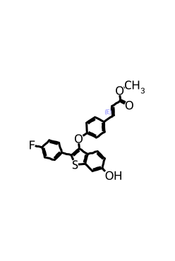 COC(=O)/C=C/c1ccc(Oc2c(-c3ccc(F)cc3)sc3cc(O)ccc23)cc1